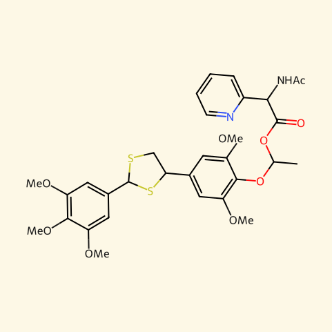 COc1cc(C2SCC(c3cc(OC)c(OC(C)OC(=O)C(NC(C)=O)c4ccccn4)c(OC)c3)S2)cc(OC)c1OC